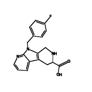 O=C(O)C1Cc2c(n(Cc3ccc(F)cc3)c3ncccc23)CN1